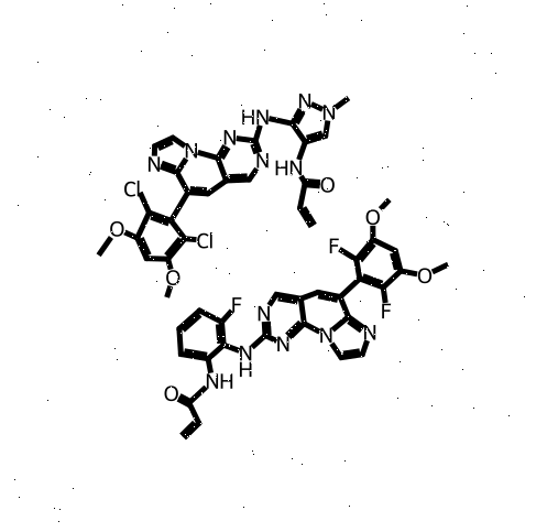 C=CC(=O)Nc1cccc(F)c1Nc1ncc2cc(-c3c(F)c(OC)cc(OC)c3F)c3nccn3c2n1.C=CC(=O)Nc1cn(C)nc1Nc1ncc2cc(-c3c(Cl)c(OC)cc(OC)c3Cl)c3nccn3c2n1